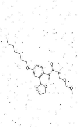 CCCCCCCOc1ccc(NC(=O)[C@H](C)COCOC)c(C2OCCO2)c1